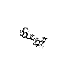 Cc1cnc(C(CC(=O)NCC(Cc2ccc(C(N)=O)c(F)c2)N(C)C)C2(C(F)(F)F)CC2)nc1